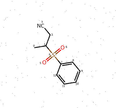 CC(CC#N)S(=O)(=O)c1ccccc1